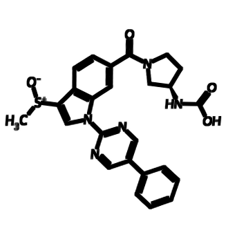 C[S+]([O-])c1cn(-c2ncc(-c3ccccc3)cn2)c2cc(C(=O)N3CC[C@@H](NC(=O)O)C3)ccc12